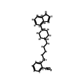 O=[N+]([O-])c1ccccc1OCCCCN1CCN(c2cccc3sccc23)CC1